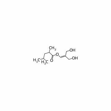 CC(C)CC(C)C(=O)OC=C(CO)CO